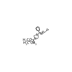 CC(C)(C)OC(=O)N1CCN(/C(=N/OCC2CC2)c2ccccc2)CC1